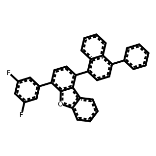 Fc1cc(F)cc(-c2ccc(-c3ccc(-c4ccccc4)c4ccccc34)c3c2oc2ccccc23)c1